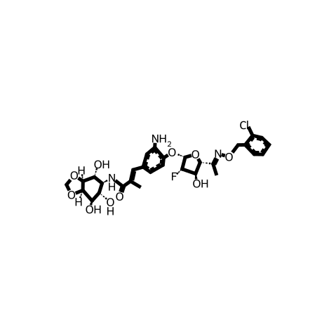 CC(=Cc1ccc(O[C@@H]2O[C@H](C(C)=NOCc3ccccc3Cl)[C@@H](O)[C@@H]2F)c(N)c1)C(=O)N[C@@H]1[C@H](O)[C@@H](O)[C@H]2OCO[C@H]2[C@@H]1O